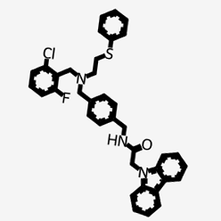 O=C(Cn1c2ccccc2c2ccccc21)NCc1ccc(CN(CCSc2ccccc2)Cc2c(F)cccc2Cl)cc1